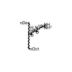 CCCCCCCC/C=C\CCCCCCCCN(CCCCCCCCCCCCCCCC)C(=O)CCNC(=O)C(N)CCCNC(=N)N